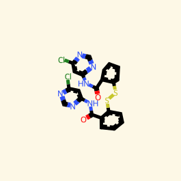 O=C(Nc1cc(Cl)ncn1)c1ccccc1SSc1ccccc1C(=O)Nc1cc(Cl)ncn1